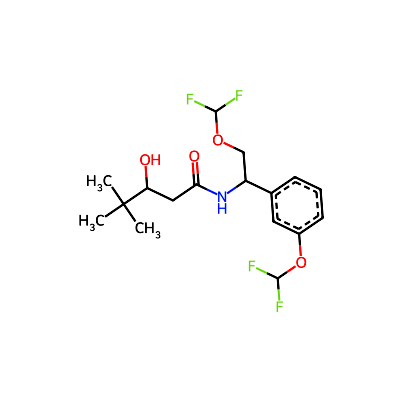 CC(C)(C)C(O)CC(=O)NC(COC(F)F)c1cccc(OC(F)F)c1